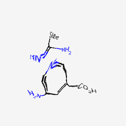 CSC(=N)N.Nc1cncc(C(=O)O)c1